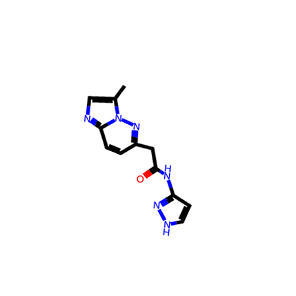 Cc1cnc2ccc(CC(=O)Nc3cc[nH]n3)nn12